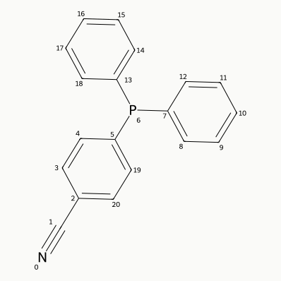 N#Cc1ccc(P(c2ccccc2)c2ccccc2)cc1